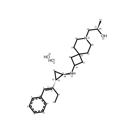 CC/C(=C\c1ccccc1)[C@@H]1C[C@H]1NC1CC2(CCN(C[C@@H](C)O)CC2)C1.Cl.Cl